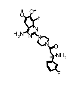 COc1cc2c(N)nc(N3CCN(C(=O)C[C@@H](N)c4cccc(F)c4)CC3)nc2c(F)c1OC